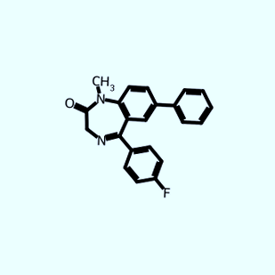 CN1C(=O)CN=C(c2ccc(F)cc2)c2cc(-c3ccccc3)ccc21